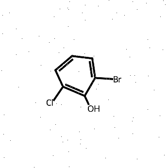 Oc1c(Cl)cccc1Br